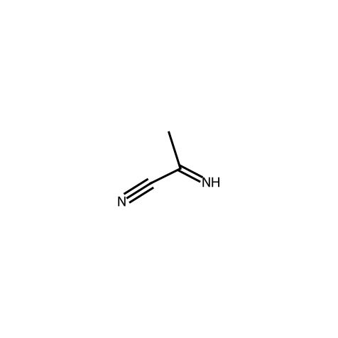 CC(=N)C#N